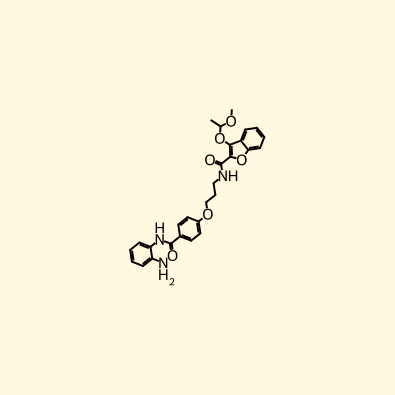 COC(C)Oc1c(C(=O)NCCCOc2ccc(C(=O)Nc3ccccc3N)cc2)oc2ccccc12